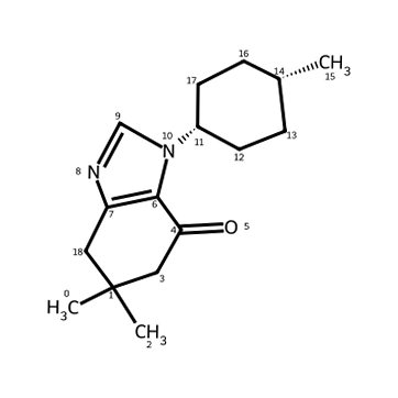 CC1(C)CC(=O)c2c(ncn2[C@H]2CC[C@@H](C)CC2)C1